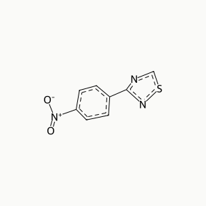 O=[N+]([O-])c1ccc(-c2ncsn2)cc1